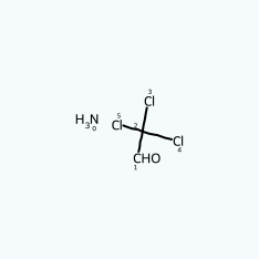 N.O=CC(Cl)(Cl)Cl